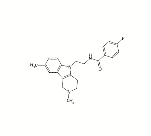 Cc1ccc2c(c1)c1c(n2CCNC(=O)c2ccc(F)cc2)CCN(C)C1